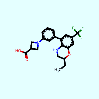 CCC1CNc2c(cc(C(F)(F)F)cc2-c2cccc(N3CC(C(=O)O)C3)c2)O1